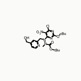 CCCCOc1nc(Cl)c([N+](=O)[O-])c(N(Cc2cc(CO)ccn2)N(C)C(=O)OC(C)(C)C)n1